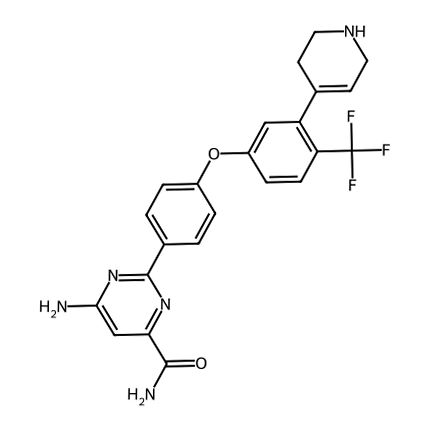 NC(=O)c1cc(N)nc(-c2ccc(Oc3ccc(C(F)(F)F)c(C4=CCNCC4)c3)cc2)n1